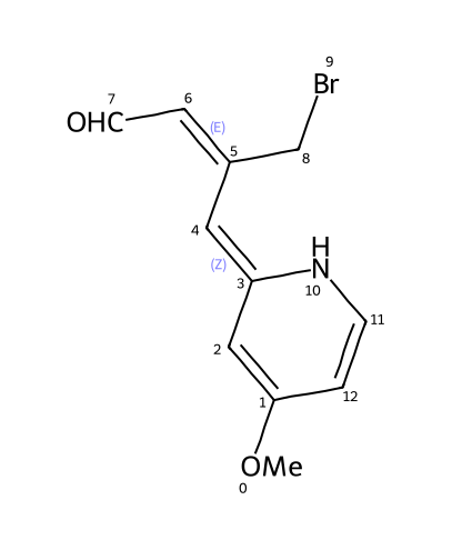 COC1=C/C(=C/C(=C\C=O)CBr)NC=C1